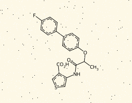 CC(Oc1ccc(-c2ccc(F)cc2)cc1)C(=O)Nc1cscc1C(=O)O